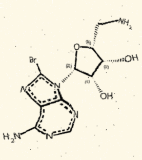 NC[C@H]1O[C@@H](n2c(Br)nc3c(N)ncnc32)[C@@H](O)[C@H]1O